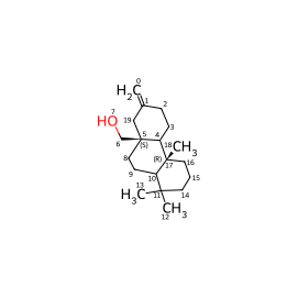 C=C1CCC2[C@](CO)(CCC3C(C)(C)CCC[C@]32C)C1